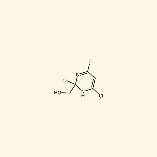 OCC1(Cl)N=C(Cl)C=C(Cl)N1